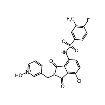 O=C1c2c(Cl)ccc(NS(=O)(=O)c3ccc(F)c(C(F)(F)F)c3)c2C(=O)N1Cc1ccc[n+](O)c1